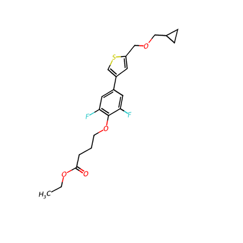 CCOC(=O)CCCOc1c(F)cc(-c2csc(COCC3CC3)c2)cc1F